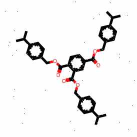 CC(C)c1ccc(COC(=O)c2ccc(C(=O)OCc3ccc(C(C)C)cc3)c(C(=O)OCc3ccc(C(C)C)cc3)c2)cc1